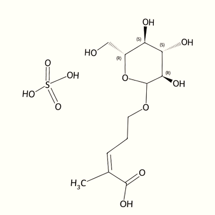 CC(=CCCOC1O[C@H](CO)[C@@H](O)[C@H](O)[C@H]1O)C(=O)O.O=S(=O)(O)O